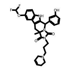 CC12Cc3c([nH]c4ccc(OC(F)F)cc34)C(c3cccc(O)c3)N1C(=O)N(CCCN1CC=CCC1)C2=O